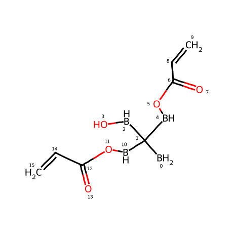 BC(BO)(BOC(=O)C=C)BOC(=O)C=C